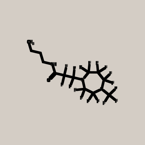 CCCCNC(=O)C(F)(F)C(F)(F)N1C(F)(F)C(F)(F)N(C(F)(F)F)C(F)(F)C(F)(F)C1(F)F